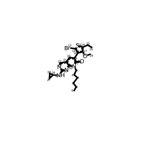 CCCCCCn1c(=O)c(-c2c(Br)sc(CC)c2OC)cc2cnc(NC3CC3)nc21